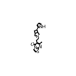 Cc1nc2sccn2c(=O)c1CCN1CC2CC(c3ccc[nH]3)C2C1